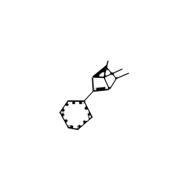 CC1[C]=C2C(c3ccccc3)=C1C2(C)C